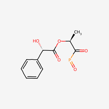 C[C@H](OC(=O)[C@@H](O)c1ccccc1)C(=O)P=O